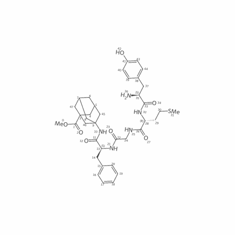 COC(=O)C12CC3CC(CC(NC(=O)[C@H](Cc4ccccc4)NC(=O)CNC(=O)[C@@H](CCSC)NC(=O)[C@@H](N)Cc4ccc(O)cc4)(C3)C1)C2